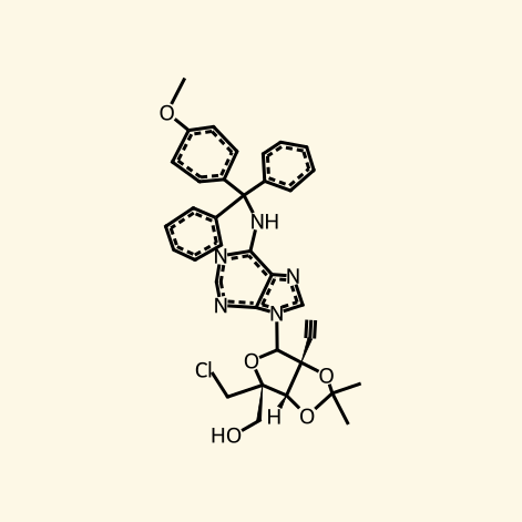 C#C[C@@]12OC(C)(C)O[C@@H]1[C@](CO)(CCl)OC2n1cnc2c(NC(c3ccccc3)(c3ccccc3)c3ccc(OC)cc3)ncnc21